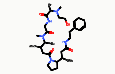 CCC(C)C(C(CC(=O)N1CCCC1C(CC(=O)NCCC1=CCCC=C1)OC)OC)N(C)C(=O)CNC(=O)C(C(C)C)N(C)CCO